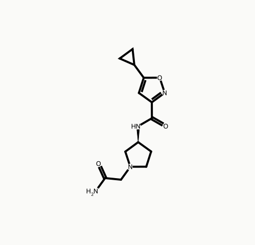 NC(=O)CN1CC[C@H](NC(=O)c2cc(C3CC3)on2)C1